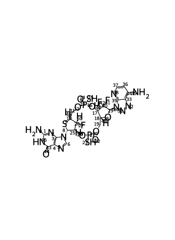 Nc1nc2c(ncn2[C@@H]2S[C@@H]3COP(=O)(S)O[C@@H]4[C@@H](COP(=O)(S)O[C@@H]2[C@H]3F)O[C@H](n2nnc3c(N)ccnc32)C4(F)F)c(=O)[nH]1